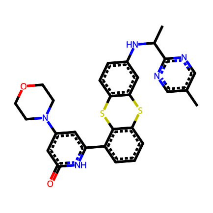 Cc1cnc(C(C)Nc2ccc3c(c2)Sc2cccc(-c4cc(N5CCOCC5)cc(=O)[nH]4)c2S3)nc1